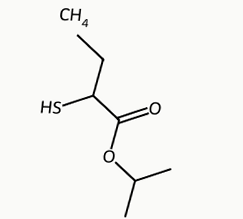 C.CCC(S)C(=O)OC(C)C